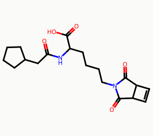 O=C(CC1CCCC1)NC(CCCCN1C(=O)C2C=CC2C1=O)C(=O)O